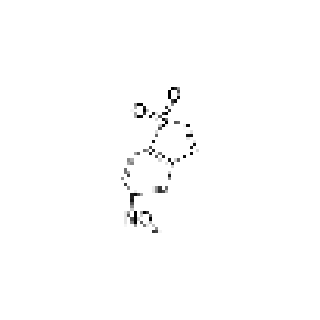 O=[N+]([O-])c1ccc2c(c1)C=CS2(=O)=O